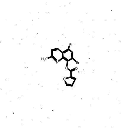 Cc1ccc2c(Br)cc(Br)c(OC(=O)c3ccco3)c2n1